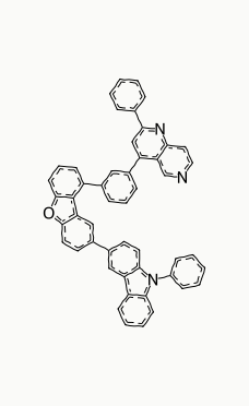 c1ccc(-c2cc(-c3cccc(-c4cccc5oc6ccc(-c7ccc8c(c7)c7ccccc7n8-c7ccccc7)cc6c45)c3)c3cnccc3n2)cc1